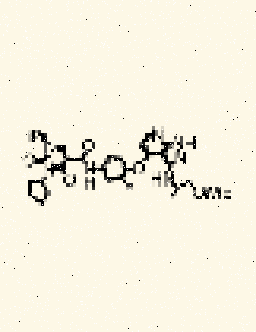 COCC(C)Nc1n[nH]c2nccc(Oc3ccc(NC(=O)c4cn(C(C)C)c(=O)n(C5CCCC5)c4=O)cc3F)c12